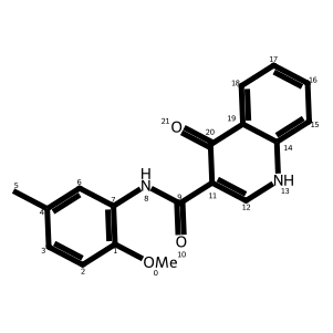 COc1ccc(C)cc1NC(=O)c1c[nH]c2ccccc2c1=O